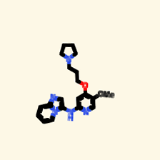 COc1cnc(Nc2cnc3ccccn23)cc1OCCCN1CCCC1